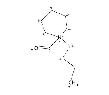 CCCC[N+]1([C]=O)CCCCC1